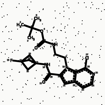 CC(C)(C)OC(=O)NCCn1c(C(=O)NC23CC(F)(C2)C3)cc2ccnc(Cl)c21